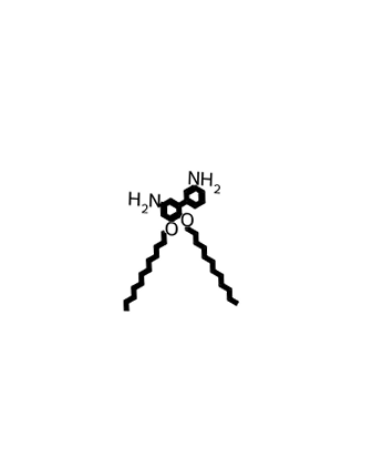 CCCCCCCCCCCCOc1cc(N)cc(-c2cccc(N)c2)c1OCCCCCCCCCCCC